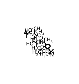 Cc1ncsc1-c1ccc([C@H](C)NC(=O)[C@@H]2[C@@H](F)[C@@H](O)CN2C(=O)[C@@H](NC(=O)C2(F)CC2)C(C)(C)C)c(OC(C)(C)C)c1